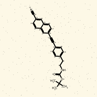 CC(C)(C)OC(=O)NCCc1ccc(C#Cc2ccc3cc(C#N)ccc3c2)cc1